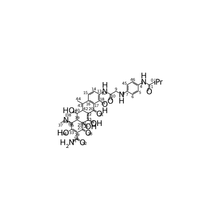 CC(C)C(=O)Nc1ccc(NCC(=O)Nc2ccc3c(c2O)C(=O)C2=C(O)[C@]4(O)C(=O)C(C(N)=O)=C(O)[C@@H](N(C)C)C4C(O)C2C3C)cc1